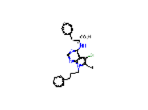 CCc1c(Br)c2c(N[C@H](Cc3ccccc3)C(=O)O)ncnc2n1CCCc1ccccc1